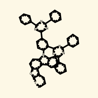 c1ccc(-c2nc(-c3ccccc3)nc(-c3ccc(-n4c5ccccc5c5c6c(ccc54)oc4ccccc46)c(-c4nc(-c5ccccc5)nc(-c5ccccc5)n4)c3)n2)cc1